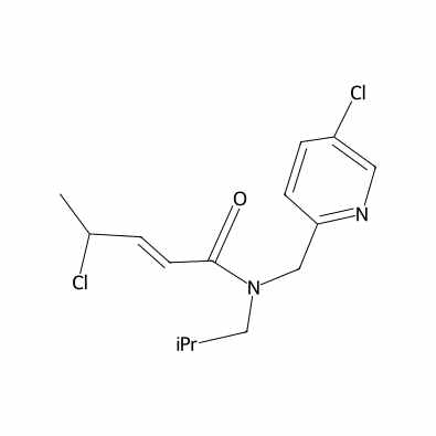 CC(Cl)/C=C/C(=O)N(Cc1ccc(Cl)cn1)CC(C)C